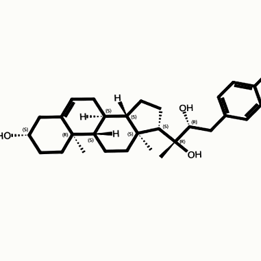 Cc1ccc(C[C@@H](O)[C@](C)(O)[C@H]2CC[C@H]3[C@@H]4CC=C5C[C@@H](O)CC[C@]5(C)[C@H]4CC[C@]23C)cc1